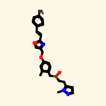 Cc1cc(OCc2coc(/C=C/c3ccc(C(F)(F)F)cc3)n2)ccc1C[S+]([O-])CCc1ccnn1C